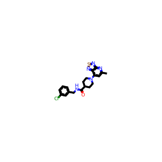 Cc1cc(N2CCC(C(=O)NCc3cccc(Cl)c3)CC2)c2nsnc2n1